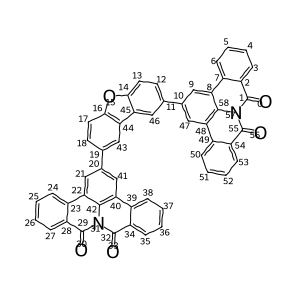 O=c1c2ccccc2c2cc(-c3ccc4oc5ccc(-c6cc7c8ccccc8c(=O)n8c(=O)c9ccccc9c(c6)c78)cc5c4c3)cc3c4ccccc4c(=O)n1c23